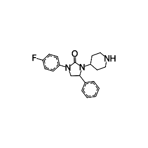 O=C1N(c2ccc(F)cc2)CC(c2ccccc2)N1C1CCNCC1